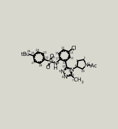 CC(=O)N1CCC(n2c(C)nnc2-c2cc(Cl)ccc2NS(=O)(=O)c2ccc(C(C)(C)C)cc2)C1